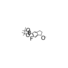 COC1CCc2cc(B3OC(C)(C)C(C)(C)O3)c(F)cc21